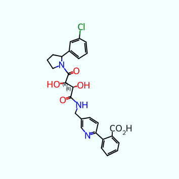 O=C(O)c1ccccc1-c1ccc(CNC(=O)[C@H](O)[C@@H](O)C(=O)N2CCCC2c2cccc(Cl)c2)cn1